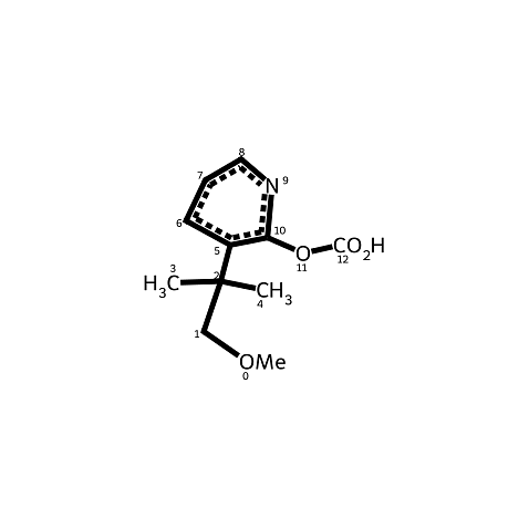 COCC(C)(C)c1cccnc1OC(=O)O